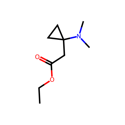 CCOC(=O)CC1(N(C)C)CC1